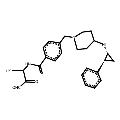 CCCC(NC(=O)c1ccc(CN2CCC(N[C@@H]3C[C@H]3c3ccccc3)CC2)cc1)C(=O)C=O